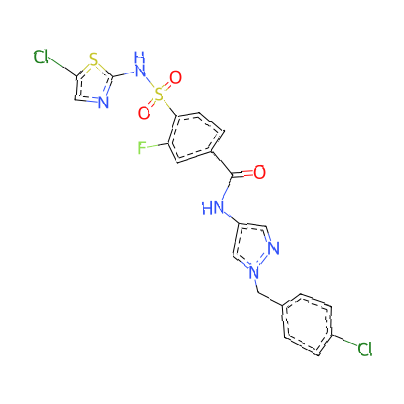 O=C(Nc1cnn(Cc2ccc(Cl)cc2)c1)c1ccc(S(=O)(=O)Nc2ncc(Cl)s2)c(F)c1